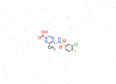 Cc1nc(C(=O)O)cnc1CNS(=O)(=O)c1ccc(F)c(Cl)c1